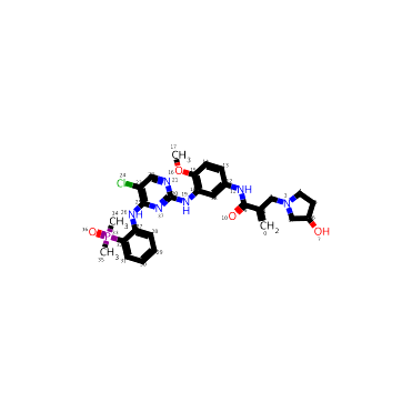 C=C(CN1CCC(O)C1)C(=O)Nc1ccc(OC)c(Nc2ncc(Cl)c(Nc3ccccc3P(C)(C)=O)n2)c1